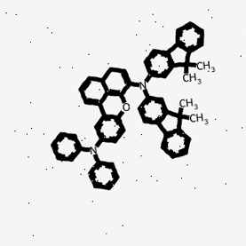 CC1(C)c2ccccc2-c2ccc(N(C3=CCC4C=CC=C5C4=C3Oc3ccc(N(c4ccccc4)c4ccccc4)cc35)c3ccc4c(c3)C(C)(C)c3ccccc3-4)cc21